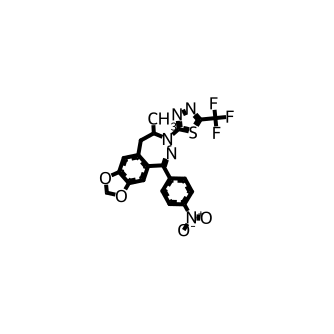 CC1Cc2cc3c(cc2C(c2ccc([N+](=O)[O-])cc2)=NN1c1nnc(C(F)(F)F)s1)OCO3